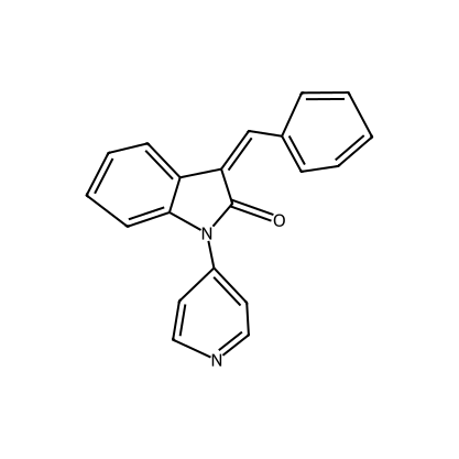 O=C1C(=Cc2ccccc2)c2ccccc2N1c1ccncc1